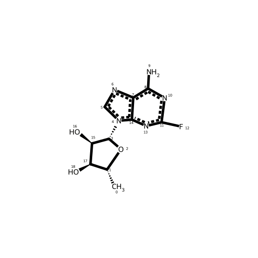 C[C@H]1O[C@@H](n2cnc3c(N)nc(F)nc32)[C@H](O)[C@@H]1O